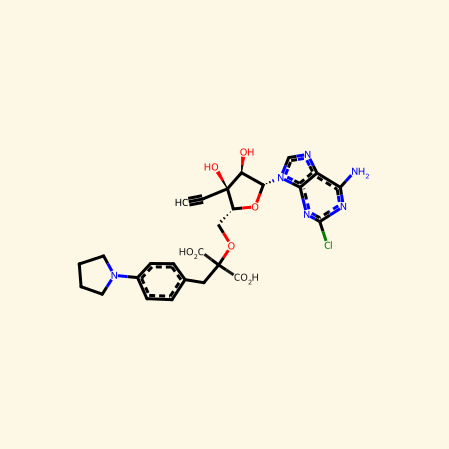 C#C[C@@]1(O)[C@@H](COC(Cc2ccc(N3CCCC3)cc2)(C(=O)O)C(=O)O)O[C@@H](n2cnc3c(N)nc(Cl)nc32)[C@@H]1O